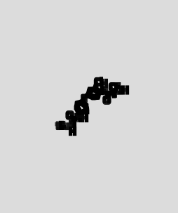 CC(C)(C)NC(=O)Nc1ccc(Sc2ccc(NC(=O)[C@@](C)(O)C(F)(F)F)c(Cl)c2)cc1